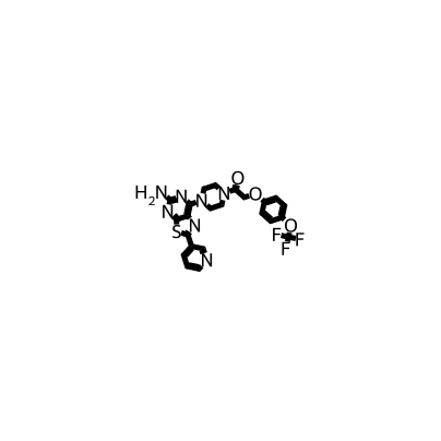 Nc1nc(N2CCN(C(=O)COc3ccc(OC(F)(F)F)cc3)CC2)c2nc(-c3cccnc3)sc2n1